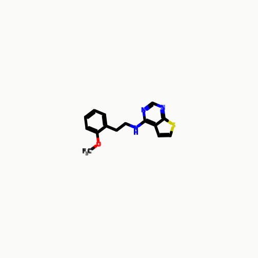 FC(F)(F)Oc1ccccc1CCNc1ncnc2sccc12